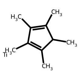 CC1=C(C)C(C)C(C)=C1C.[Ti]